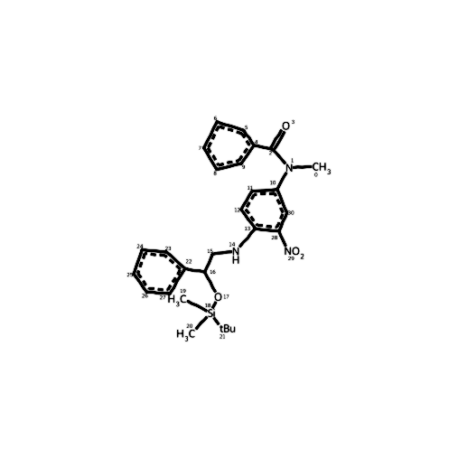 CN(C(=O)c1ccccc1)c1ccc(NCC(O[Si](C)(C)C(C)(C)C)c2ccccc2)c([N+](=O)[O-])c1